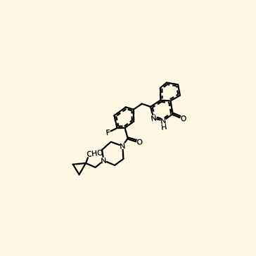 O=CC1(CN2CCN(C(=O)c3cc(Cc4n[nH]c(=O)c5ccccc45)ccc3F)CC2)CC1